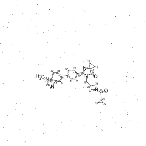 Cn1cnc2cc(-c3ccc(C4=NC5(CC5)C(=O)N4CC4CN(C(=O)C5CC5)C4)cc3)ccc21